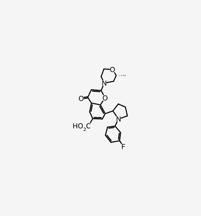 C[C@@H]1CN(c2cc(=O)c3cc(C(=O)O)cc(C4CCCN4c4cccc(F)c4)c3o2)CCO1